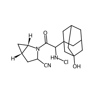 N#CC1C[C@@H]2C[C@@H]2N1C(=O)C(NCl)C12CC3CC(CC(O)(C3)C1)C2